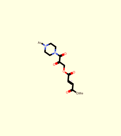 COC(=O)/C=C/C(=O)OCC(=O)C(=O)N1CCN(C(C)=O)CC1